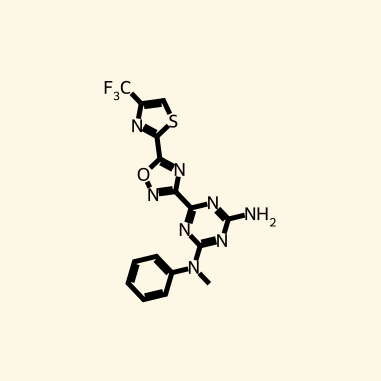 CN(c1ccccc1)c1nc(N)nc(-c2noc(-c3nc(C(F)(F)F)cs3)n2)n1